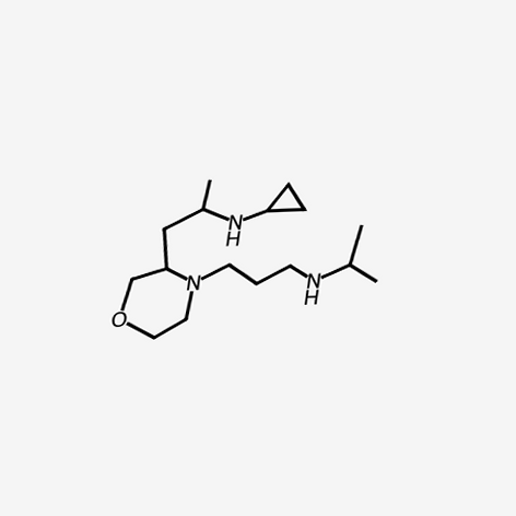 CC(C)NCCCN1CCOCC1CC(C)NC1CC1